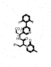 Cc1ccn(C(CC(C)C)C(=O)N[C@@H](CC(=O)O)c2cncc(-c3c(F)cccc3F)c2)c(=O)c1